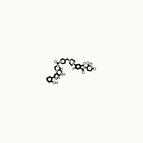 O=C1CCC(N2C(=O)c3cc(F)c(N4CCN(CC5CCN(C(=O)N6CCN7c8cc(-c9ccccc9O)nnc8NC[C@H]7C6)CC5)CC4)cc3C2=O)C(=O)N1